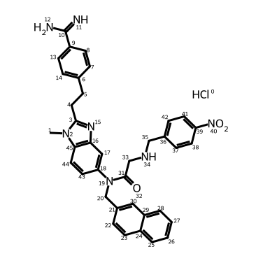 Cl.Cn1c(CCc2ccc(C(=N)N)cc2)nc2cc(N(Cc3ccc4ccccc4c3)C(=O)CNCc3ccc([N+](=O)[O-])cc3)ccc21